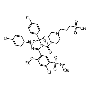 CCOc1cc(Cl)c(S(=O)(=O)NC(C)(C)C)cc1/C(=N/C[C@@H]1C=CC(Cl)=CC1)N(C(=O)N1CCN(CCCS(C)(=O)=O)CC1)C(C)(C)c1ccc(Cl)cc1